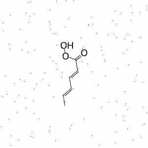 CC=CC=CC(=O)OO